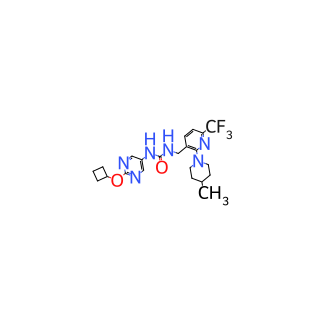 CC1CCN(c2nc(C(F)(F)F)ccc2CNC(=O)Nc2cnc(OC3CCC3)nc2)CC1